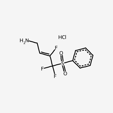 Cl.NC/C=C(\F)C(F)(F)S(=O)(=O)c1ccccc1